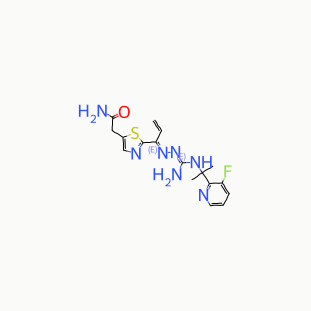 C=C/C(=N\N=C(/N)NC(C)(C)c1ncccc1F)c1ncc(CC(N)=O)s1